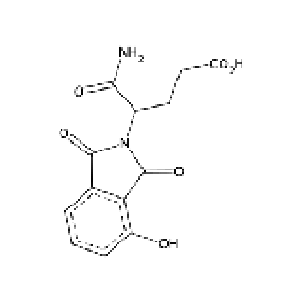 NC(=O)C(CCC(=O)O)N1C(=O)c2cccc(O)c2C1=O